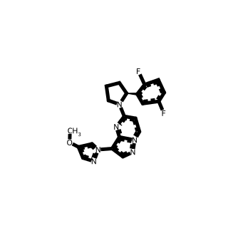 COc1cnn(-c2cnn3ccc(N4CCC[C@H]4c4cc(F)ccc4F)nc23)c1